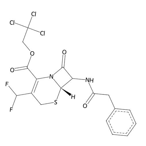 O=C(Cc1ccccc1)NC1C(=O)N2C(C(=O)OCC(Cl)(Cl)Cl)=C(C(F)F)CS[C@@H]12